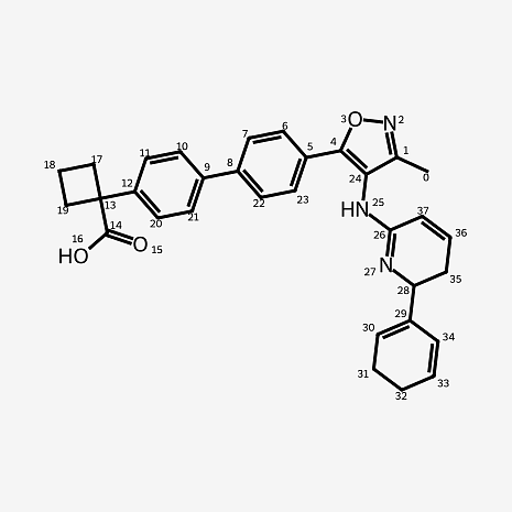 Cc1noc(-c2ccc(-c3ccc(C4(C(=O)O)CCC4)cc3)cc2)c1NC1=NC(C2=CCCC=C2)CC=C1